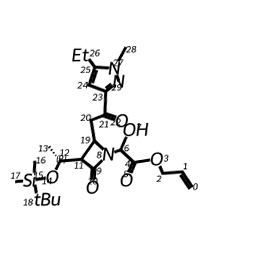 C=CCOC(=O)C(O)N1C(=O)C([C@@H](C)O[Si](C)(C)C(C)(C)C)C1CC(=O)c1cc(CC)n(C)n1